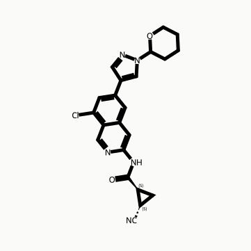 N#C[C@H]1C[C@@H]1C(=O)Nc1cc2cc(-c3cnn(C4CCCCO4)c3)cc(Cl)c2cn1